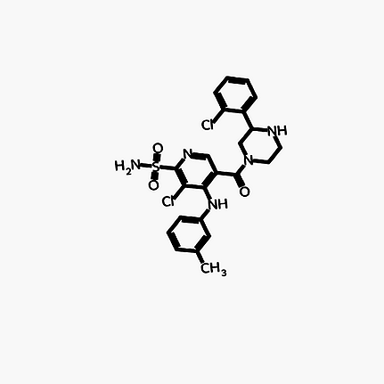 Cc1cccc(Nc2c(C(=O)N3CCNC(c4ccccc4Cl)C3)cnc(S(N)(=O)=O)c2Cl)c1